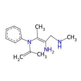 C=C(C)N(/C(C)=C(\N)CNC)c1ccccc1